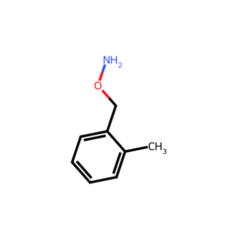 Cc1ccccc1CON